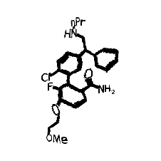 CCCNCC(c1ccccc1)c1ccc(Cl)c(-c2c(C(N)=O)ccc(OCCOC)c2F)c1